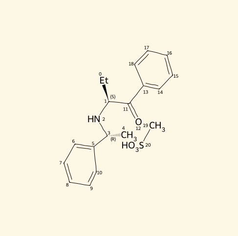 CC[C@H](N[C@H](C)c1ccccc1)C(=O)c1ccccc1.CS(=O)(=O)O